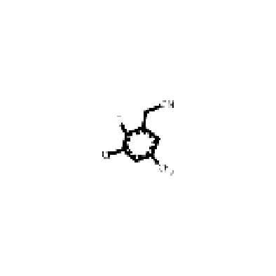 N#CCc1cc(C(F)(F)F)cc(Cl)c1F